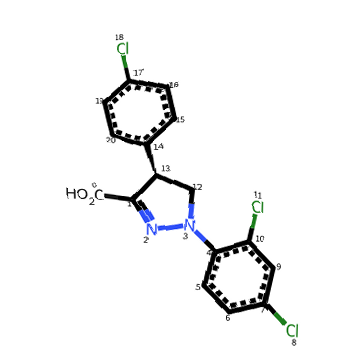 O=C(O)C1=NN(c2ccc(Cl)cc2Cl)C[C@@H]1c1ccc(Cl)cc1